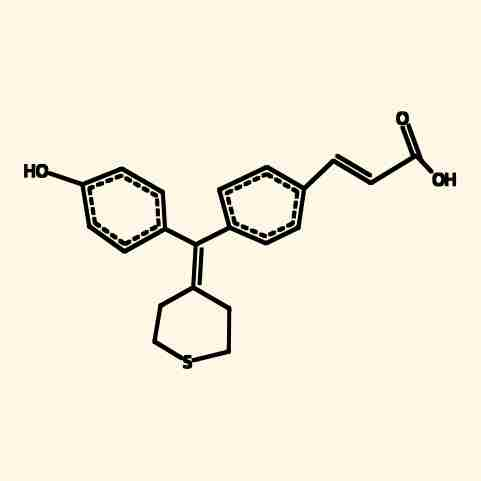 O=C(O)C=Cc1ccc(C(=C2CCSCC2)c2ccc(O)cc2)cc1